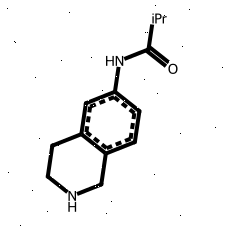 CC(C)C(=O)Nc1ccc2c(c1)CCNC2